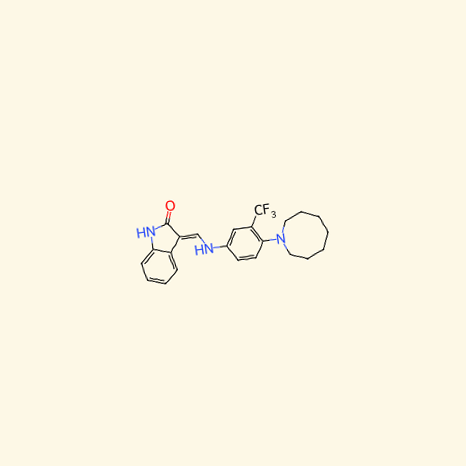 O=C1Nc2ccccc2/C1=C\Nc1ccc(N2CCCCCCC2)c(C(F)(F)F)c1